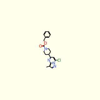 Cc1cnn2c(Cl)cc(C3CCN(C(=O)OCc4ccccc4)CC3)nc12